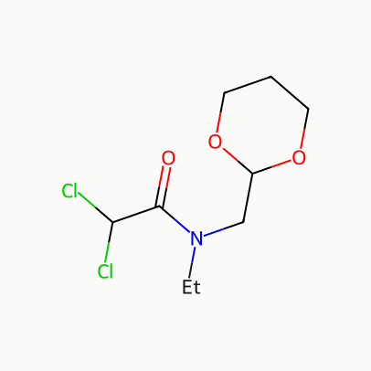 CCN(CC1OCCCO1)C(=O)C(Cl)Cl